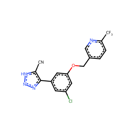 N#Cc1[nH]nnc1-c1cc(Cl)cc(OCc2ccc(C(F)(F)F)nc2)c1